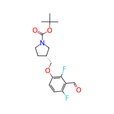 CC(C)(C)OC(=O)N1CC[C@@H](COc2ccc(F)c(C=O)c2F)C1